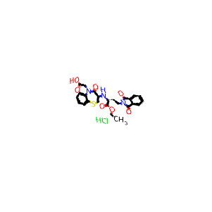 CCOC(=O)[C@@H](CCN1C(=O)c2ccccc2C1=O)NC1CSc2ccccc2N(CC(=O)O)C1=O.Cl